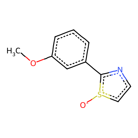 COc1cccc(-c2ncc[s+]2[O-])c1